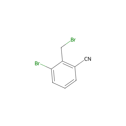 N#Cc1cccc(Br)c1CBr